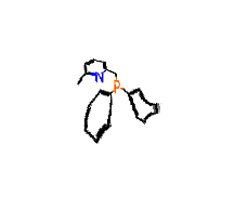 Cc1cccc(CP(c2ccccc2)c2ccccc2)n1